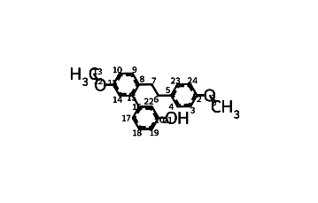 COc1ccc(CCc2ccc(OC)cc2-c2cccc(O)c2)cc1